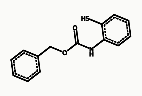 O=C(Nc1ccccc1S)OCc1ccccc1